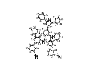 N#Cc1cccc(-c2ccc3c(c2)c2ccccc2n3-c2cc(-c3cc(-c4ccccc4)nc(-c4ccccc4)c3)cc(-n3c4ccccc4c4cc(-c5cccc(C#N)c5)ccc43)c2C#N)c1